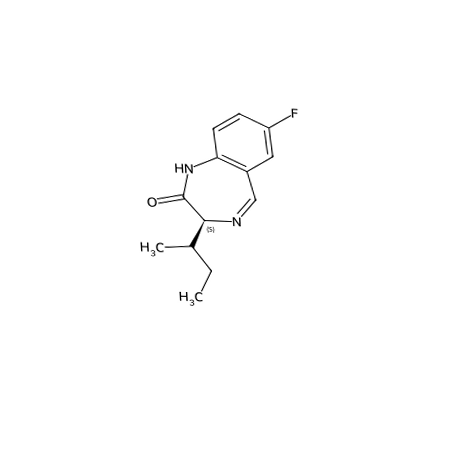 CCC(C)[C@@H]1N=Cc2cc(F)ccc2NC1=O